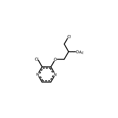 CC(=O)OC(CCl)COc1nccnc1Cl